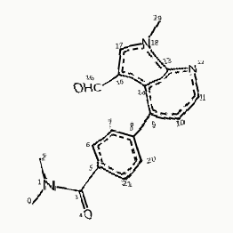 CN(C)C(=O)c1ccc(-c2ccnc3c2c(C=O)cn3C)cc1